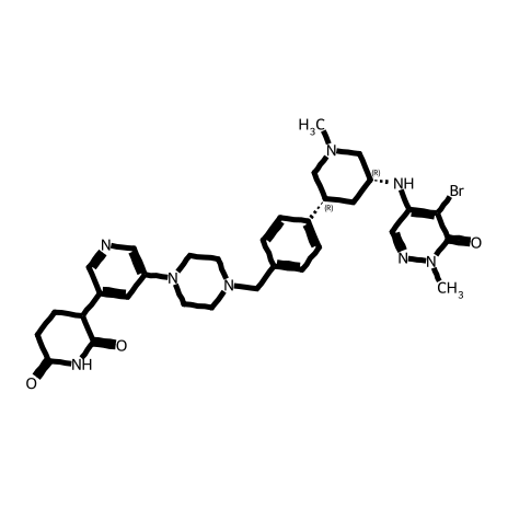 CN1C[C@H](Nc2cnn(C)c(=O)c2Br)C[C@H](c2ccc(CN3CCN(c4cncc(C5CCC(=O)NC5=O)c4)CC3)cc2)C1